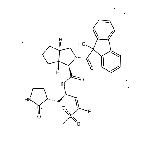 CS(=O)(=O)/C(F)=C\[C@@H](C[C@H]1CCNC1=O)NC(=O)[C@H]1[C@@H]2CCC[C@@H]2CN1C(=O)C1(O)c2ccccc2-c2ccccc21